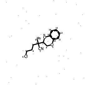 CC(C)C(C#N)(CCCCl)C1COc2ccccc2O1